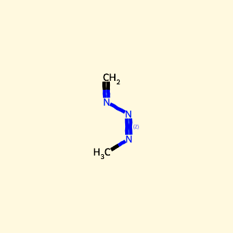 C=N/N=N\C